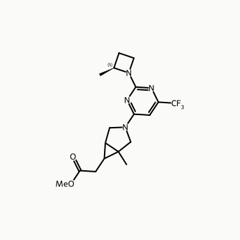 COC(=O)CC1C2CN(c3cc(C(F)(F)F)nc(N4CC[C@@H]4C)n3)CC12C